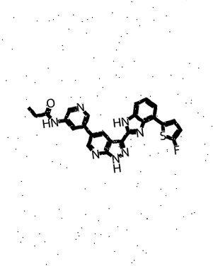 CCC(=O)Nc1cncc(-c2cnc3[nH]nc(-c4nc5c(-c6ccc(F)s6)cccc5[nH]4)c3c2)c1